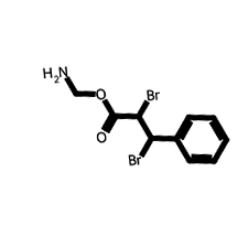 NCOC(=O)C(Br)C(Br)c1ccccc1